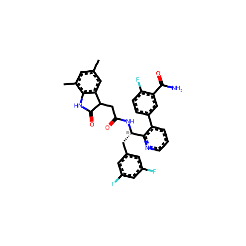 Cc1cc(C)c2c(c1)C(CC(=O)N[C@@H](Cc1cc(F)cc(F)c1)c1ncccc1-c1ccc(F)c(C(N)=O)c1)C(=O)N2